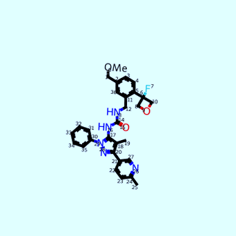 COCc1ccc(C2(F)COC2)c(CNC(=O)Nc2c(C)c(-c3ccc(C)nc3)nn2-c2ccccc2)c1